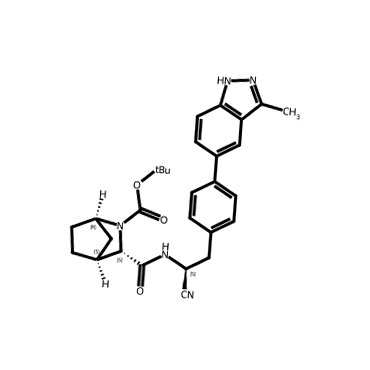 Cc1n[nH]c2ccc(-c3ccc(C[C@@H](C#N)NC(=O)[C@@H]4[C@H]5CC[C@H](C5)N4C(=O)OC(C)(C)C)cc3)cc12